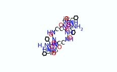 CC(C)C[C@@H](NC(=O)[C@@H](Cc1ccccc1)NC(=O)C(N)Cc1ccccc1)C(=O)N[C@@H]1CCCCNC(=O)CNC(=O)[C@H](NC(=O)[C@@H](CC(C)C)NC(=O)[C@@H](Cc2ccccc2)NC(=O)[C@H](N)Cc2ccccc2)CCCCNC(=O)CNC1=O